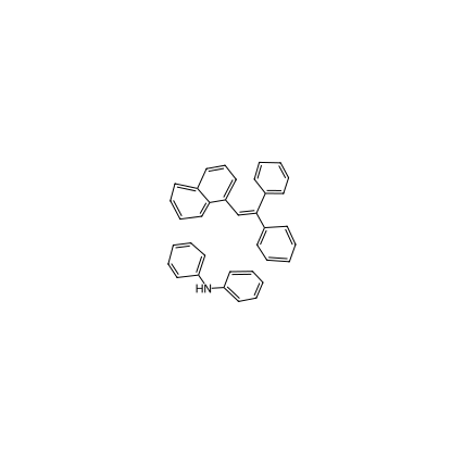 C(=C(c1ccccc1)c1ccccc1)c1cccc2ccccc12.c1ccc(Nc2ccccc2)cc1